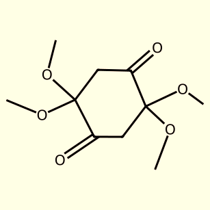 COC1(OC)CC(=O)C(OC)(OC)CC1=O